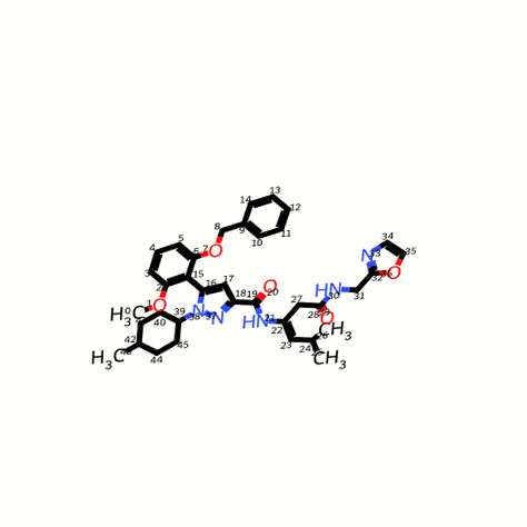 COc1cccc(OCc2ccccc2)c1-c1cc(C(=O)N/C(=C/C(C)C)CC(=O)NCc2ncco2)nn1C1CCC(C)CC1